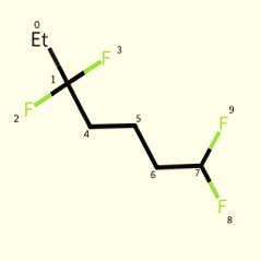 [CH2]CC(F)(F)CCCC(F)F